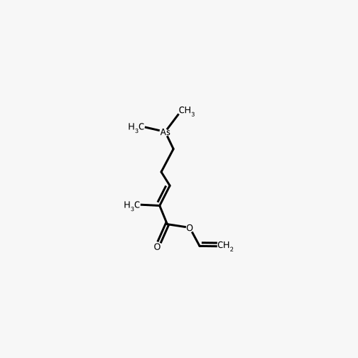 C=COC(=O)C(C)=CCC[As](C)C